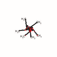 CCCCCCCCCc1ccc([Si](O[PH](=O)O[Si](c2ccc(CCCCCCCCC)cc2)(c2ccc(CCCCCCCCC)cc2)c2ccc(CCCCCCCCC)cc2)(c2ccc(CCCCCCCCC)cc2)c2ccc(CCCCCCCCC)cc2)cc1